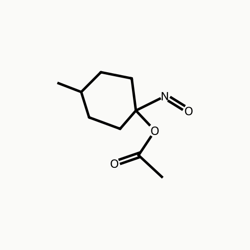 CC(=O)OC1(N=O)CCC(C)CC1